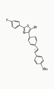 CC(C)(C)c1ccc(/C=C/c2ccc(-c3nc(-c4ccc(F)cc4)sc3Br)cc2)cc1